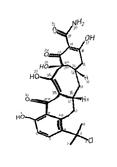 CC(C)(Cl)c1ccc(O)c2c1C[C@H]1C[C@H]3CC(O)=C(C(N)=O)C(=O)[C@@]3(O)C(O)=C1C2=O